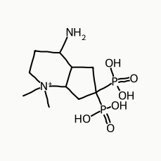 C[N+]1(C)CCC(N)C2CC(P(=O)(O)O)(P(=O)(O)O)CC21